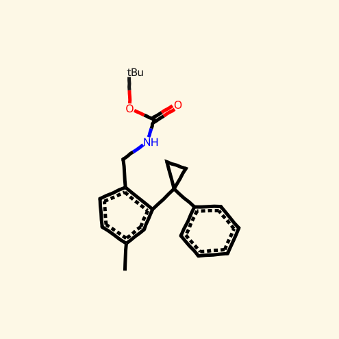 Cc1ccc(CNC(=O)OC(C)(C)C)c(C2(c3ccccc3)CC2)c1